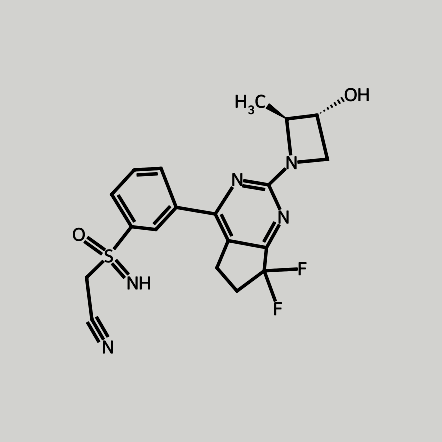 C[C@H]1[C@H](O)CN1c1nc(-c2cccc(S(=N)(=O)CC#N)c2)c2c(n1)C(F)(F)CC2